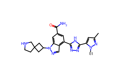 CCn1nc(C)cc1-c1nnc(-c2cc(C(N)=O)cc3c2cnn3C2CC3(CCNC3)C2)[nH]1